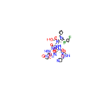 CC(C)C(C)(c1cc(-c2cc(F)ccc2F)cn1Cc1ccccc1)N(CC[C@H](NC(=O)[C@H](CC(N)=O)NC(=O)[C@@H](C)NC(=O)[C@H](C)NC(=O)Cc1ccncc1)C(=O)NCCNC(=O)CN1C(=O)C=CC1=O)C(=O)CO